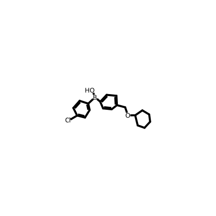 OB(c1ccc(Cl)cc1)c1ccc(COC2CCCCC2)cc1